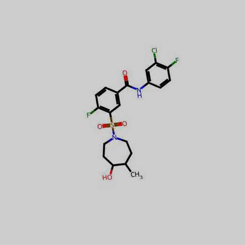 CC1CCN(S(=O)(=O)c2cc(C(=O)Nc3ccc(F)c(Cl)c3)ccc2F)CCC1O